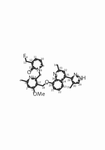 COc1cc(C)nc(Cn2cccc(CF)c2=O)c1COc1cccc2c(-c3n[nH]cc3C)cc(C)nc12